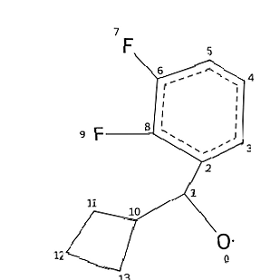 [O]C(c1cccc(F)c1F)C1CCC1